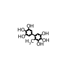 Cc1c(-c2cc(O)c(O)c(O)c2)cc(O)c(O)c1O